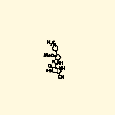 COc1c(C2CCN(C)CC2)ccc2[nH]c(-c3c(=O)[nH]cc4c(C#N)c[nH]c34)nc12